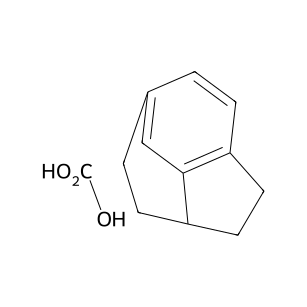 O=C(O)O.c1cc2c3cc1CCC3CC2